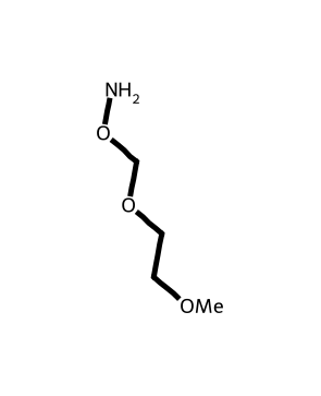 COCCOCON